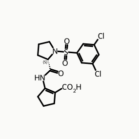 O=C(O)C1=C(NC(=O)[C@@H]2CCCN2S(=O)(=O)c2cc(Cl)cc(Cl)c2)CCC1